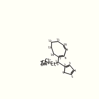 CCC(C1=CC=CC1)/C1=C/C=C\CCCC1.[Cl-].[Cl-].[Zr+2]